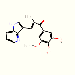 COc1cc(C(=O)/C(C)=C/c2c[nH]c3cccnc23)cc(OC)c1OC